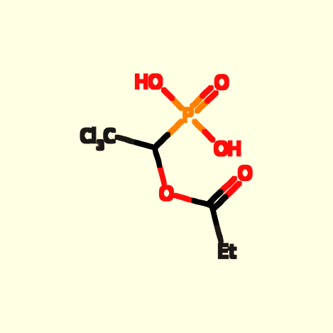 CCC(=O)OC(C(Cl)(Cl)Cl)P(=O)(O)O